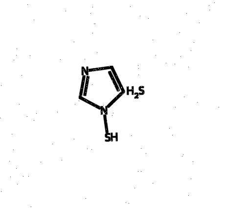 S.Sn1ccnc1